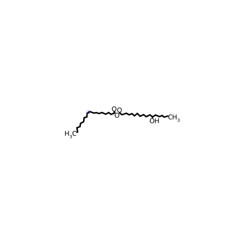 CCCCCCCC/C=C\CCCCCCCC(=O)OC(=O)CCCCCCCCCCC(O)CCCCCC